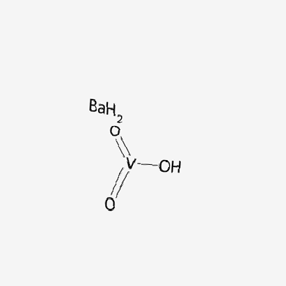 [BaH2].[O]=[V](=[O])[OH]